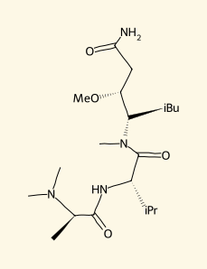 CC[C@H](C)[C@@H]([C@@H](CC(N)=O)OC)N(C)C(=O)[C@@H](NC(=O)[C@@H](C)N(C)C)C(C)C